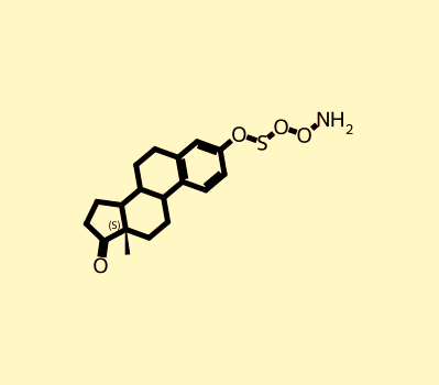 C[C@]12CCC3c4ccc(OSOON)cc4CCC3C1CCC2=O